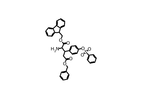 NC(C(=O)OCC1c2ccccc2-c2ccccc21)C(CC(=O)OCc1ccccc1)c1ccc(OS(=O)(=O)c2ccccc2)cc1